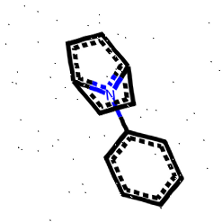 [c]1ccc(-n2c3ccc2cc3)cc1